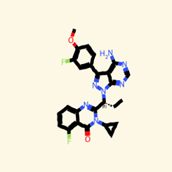 CC[C@H](c1nc2cccc(F)c2c(=O)n1C1CC1)n1nc(-c2ccc(OC)c(F)c2)c2c(N)ncnc21